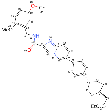 CCOC(=O)C[C@H]1CC[C@H](c2ccc(-c3ccc4nc(C(=O)NCc5cc(OC(F)(F)F)ccc5OC)cn4c3)cc2)CC1